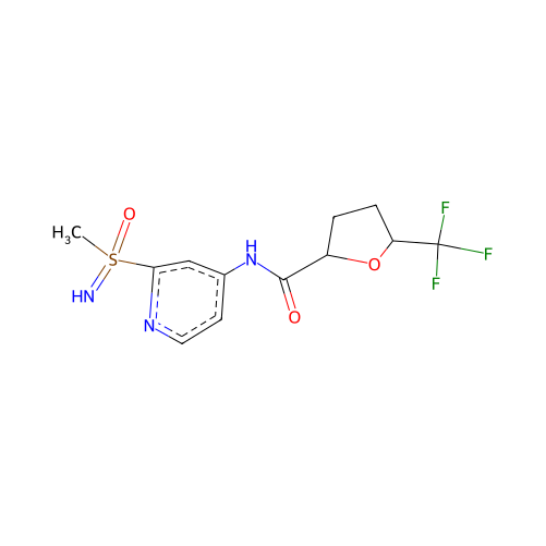 CS(=N)(=O)c1cc(NC(=O)C2CCC(C(F)(F)F)O2)ccn1